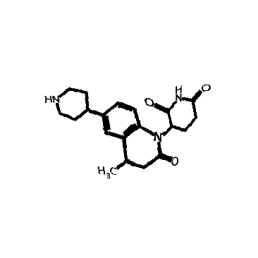 CC1CC(=O)N(C2CCC(=O)NC2=O)c2ccc(C3CCNCC3)cc21